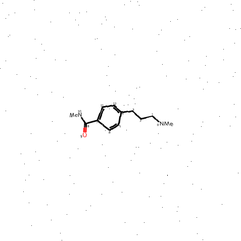 CNCCCc1ccc(C(=O)NC)cc1